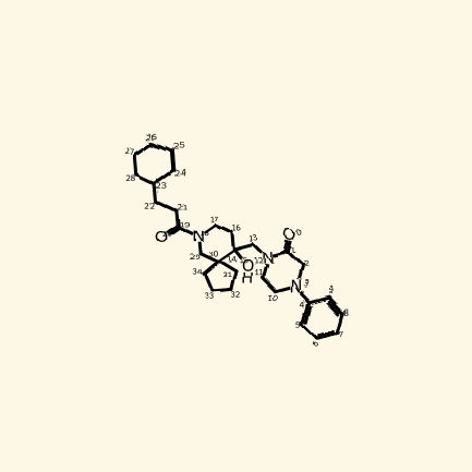 O=C1CN(c2ccccc2)CCN1CC1(O)CCN(C(=O)CCC2CCCCC2)CC12CCCC2